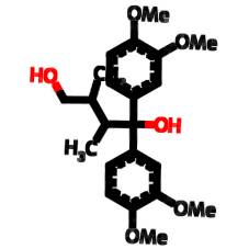 COc1ccc(C(O)(c2ccc(OC)c(OC)c2)C(C)C(C)CO)cc1OC